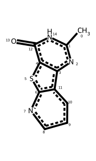 Cc1nc2c(sc3ncccc32)c(=O)[nH]1